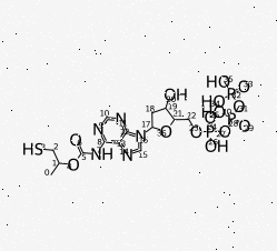 CC(CS)OC(=O)Nc1ncnc2c1ncn2C1CC(O)C(COP(=O)(O)OP(=O)(O)OP(=O)(O)O)O1